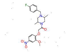 COc1cc([N+](=O)[O-])ccc1OCC(=O)N1CC(C)N(Cc2ccc(F)cc2)CC1C